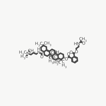 CC(=O)NCCOC(=O)c1ccccc1C(=O)O[C@H]1CC[C@]2(C)[C@H]3CCC4=C5CC(C)(C)CC[C@]5(C(=O)NCCC[N+](C)(C)C)CC[C@@]4(C)[C@]3(C)CC[C@H]2C1(C)C